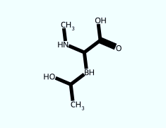 CNC(BC(C)O)C(=O)O